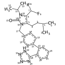 CC(C)CCc1c(C(F)F)n(C(C)C)c(=O)n1Cc1ccc(-c2ccccc2-c2nnn[nH]2)cc1